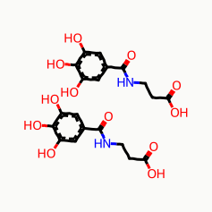 O=C(O)CCNC(=O)c1cc(O)c(O)c(O)c1.O=C(O)CCNC(=O)c1cc(O)c(O)c(O)c1